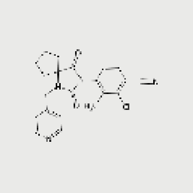 Cc1c(N2C(=O)N(Cc3ccncc3)C3(CCCC3)C2=O)ccc(C#N)c1Cl